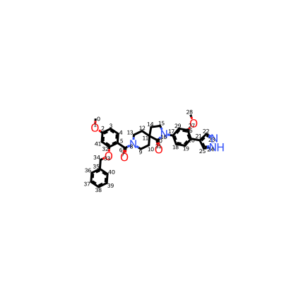 COc1ccc(C(=O)N2CCC3(CC2)CCN(c2ccc(-c4cn[nH]c4)c(OC)c2)C3=O)c(OCc2ccccc2)c1